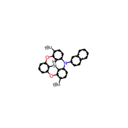 CC(C)(C)c1ccc2c3c1Oc1cccc4c1[SiH]3c1c(ccc(C(C)(C)C)c1O4)N2c1ccc2ccccc2c1